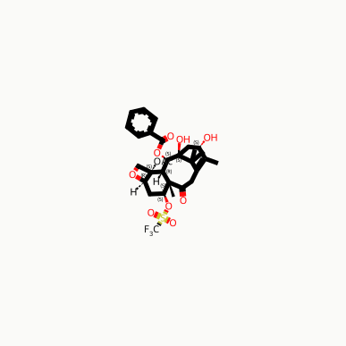 CC(=O)O[C@@]12CO[C@@H]1C[C@H](OS(=O)(=O)C(F)(F)F)[C@@]1(C)C(=O)CC3=C(C)[C@@H](O)C[C@@](O)([C@@H](OC(=O)c4ccccc4)[C@H]21)C3(C)C